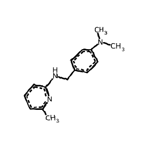 Cc1cccc(NCc2ccc(N(C)C)cc2)n1